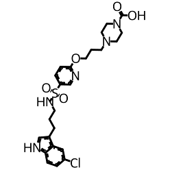 O=C(O)N1CCN(CCCOc2ccc(S(=O)(=O)NCCCc3c[nH]c4ccc(Cl)cc34)cn2)CC1